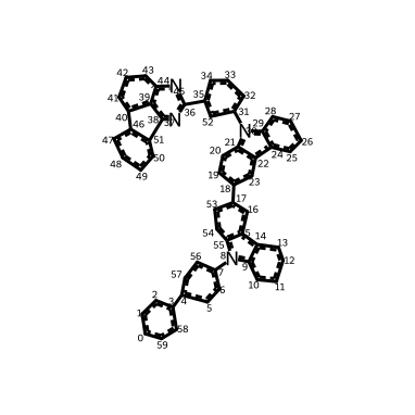 c1ccc(-c2ccc(-n3c4ccccc4c4cc(-c5ccc6c(c5)c5ccccc5n6-c5cccc(-c6nc7c8c(cccc8n6)-c6ccccc6-7)c5)ccc43)cc2)cc1